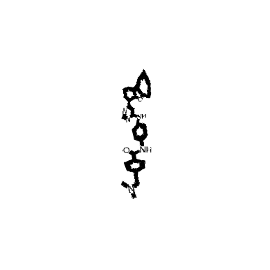 CN(C)Cc1ccc(C(=O)Nc2ccc(Nc3cc(-c4cccc5c4oc4ccccc45)ncn3)cc2)cc1